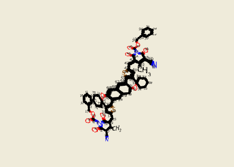 CC1=C(C#N)C(=O)N(C(=O)OCc2ccccc2)C(=O)/C1=C\c1cc2c(s1)C1=CC3C=C4OC5(CCCCC5)c5cc(/C=C6/C(=O)N(C(=O)OCc7ccccc7)C(=O)C(C#N)=C6C)sc5C4=CC3C=C1OC21CCCCC1